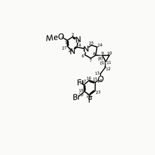 COc1cnc(N2CCC([C@H]3C[C@H]3CCOc3cc(F)c(Br)c(F)c3)CC2)nc1